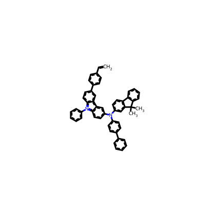 C=Cc1ccc(-c2ccc3c(c2)c2cc(N(c4ccc(-c5ccccc5)cc4)c4ccc5c(c4)C(C)(C)c4ccccc4-5)ccc2n3-c2ccccc2)cc1